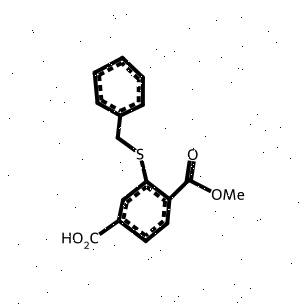 COC(=O)c1ccc(C(=O)O)cc1SCc1ccccc1